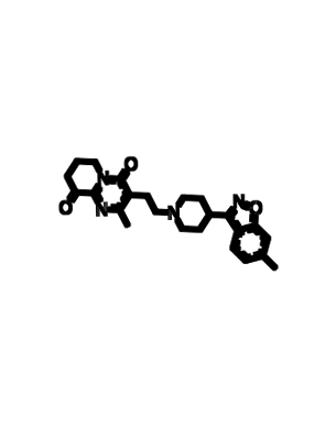 Cc1ccc2c(C3CCN(CCc4c(C)nc5n(c4=O)CCCC5=O)CC3)noc2c1